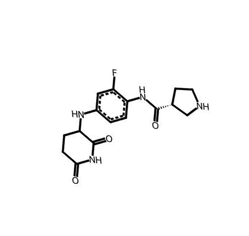 O=C1CCC(Nc2ccc(NC(=O)[C@@H]3CCNC3)c(F)c2)C(=O)N1